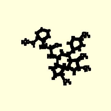 COc1ccccc1NC(=O)NC1N=C(c2ccc(C)cc2)c2c(sc(C)c2C)-n2c(C)nnc21